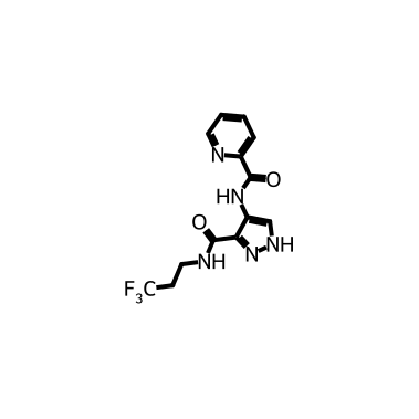 O=C(Nc1c[nH]nc1C(=O)NCCC(F)(F)F)c1ccccn1